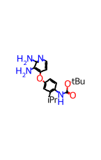 CC(C)c1cc(Oc2ccnc(N)c2N)ccc1NC(=O)OC(C)(C)C